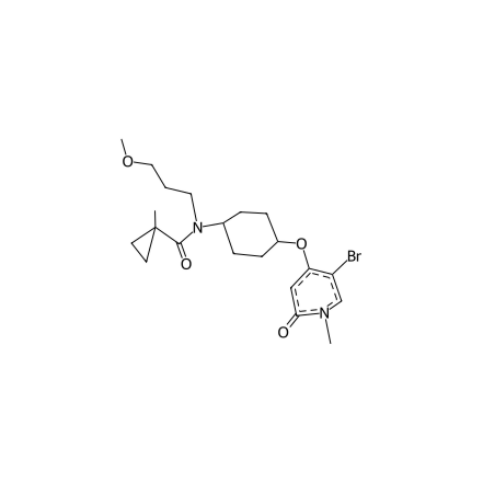 COCCCN(C(=O)C1(C)CC1)C1CCC(Oc2cc(=O)n(C)cc2Br)CC1